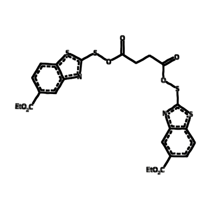 CCOC(=O)c1ccc2sc(SOC(=O)CCC(=O)OSc3nc4cc(C(=O)OCC)ccc4s3)nc2c1